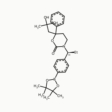 CC[C@@H](c1ccc(B2OC(C)(C)C(C)(C)O2)cc1)N1CCC(CC(C)(C)O)(c2ccccc2)OC1=O